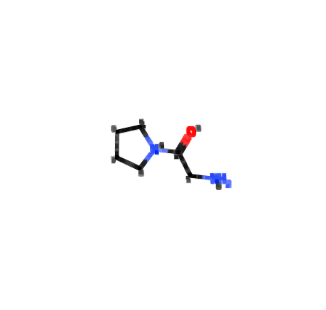 NCC(=O)N1[CH]CCC1